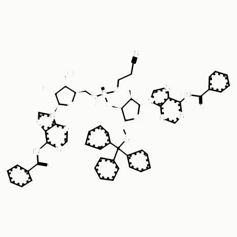 N#CCCOP(=S)(NC[C@H]1O[C@@H](n2cnc3c(NC(=O)c4ccccc4)ncnc32)[C@H](F)[C@@H]1O)O[C@H]1[C@@H](F)[C@H](n2cnc3c(NC(=O)c4ccccc4)ncnc32)O[C@@H]1CNC(c1ccccc1)(c1ccccc1)c1ccccc1